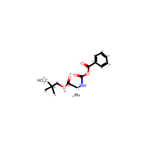 CC[C@H](C)[C@H](NC(=O)OC(=O)c1ccccc1)C(=O)OCC(C)(C)C(=O)O